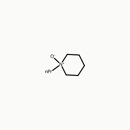 [CH2]CC[N+]1([O-])CCCCC1